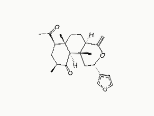 C=C1O[C@H](c2ccoc2)C[C@]2(C)[C@H]3C(=O)[C@@H](C)C[C@@H](C(C)=O)[C@]3(C)CC[C@@H]12